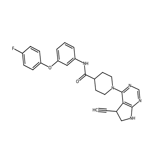 C#CC1CNc2ncnc(N3CCC(C(=O)Nc4cccc(Oc5ccc(F)cc5)c4)CC3)c21